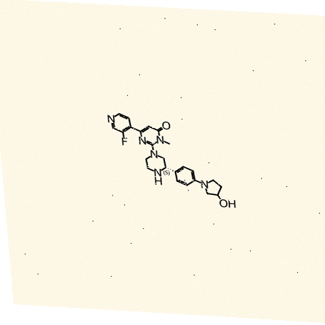 Cn1c(N2CCN[C@@H](c3ccc(N4CCC(O)C4)cc3)C2)nc(-c2ccncc2F)cc1=O